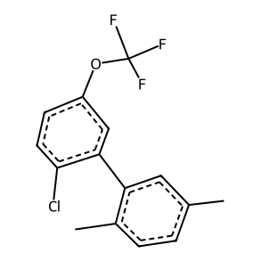 Cc1ccc(C)c(-c2cc(OC(F)(F)F)ccc2Cl)c1